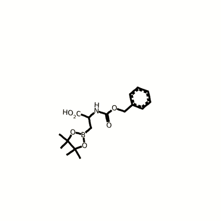 CC1(C)OB(CC(NC(=O)OCc2ccccc2)C(=O)O)OC1(C)C